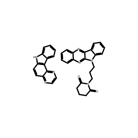 O=C1CCCC(=O)N1CCCn1c2ccccc2c2nc3ccccc3nc21.c1ccc2c(c1)[nH]c1ccc3nccnc3c12